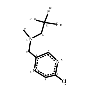 CN(Cc1cnc(Cl)cn1)CC(F)(F)F